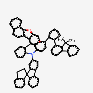 CC1(C)c2ccccc2-c2cccc(-c3ccccc3-c3ccc(N(c4ccc5c(c4)C4(CCc6ccccc64)c4ccccc4-5)c4ccccc4-c4cccc5oc6c7ccccc7ccc6c45)cc3)c21